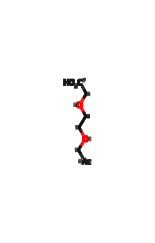 CC(=O)COCCOCC(=O)O